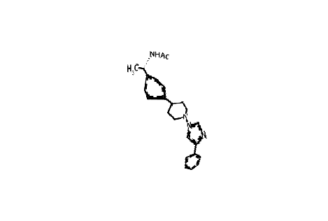 CC(=O)N[C@@H](C)c1ccc(C2CCN(n3cnc(-c4ccccc4)c3)CC2)cc1